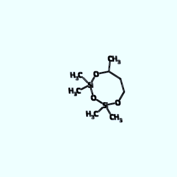 CC1CCO[Si](C)(C)O[Si](C)(C)O1